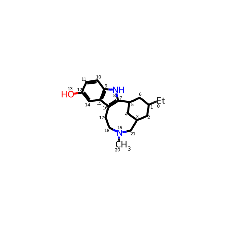 CCC1CC2CC(C1)c1[nH]c3ccc(O)cc3c1CCN(C)C2